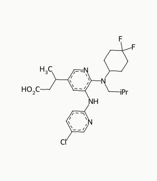 CC(C)CN(c1ncc(C(C)CC(=O)O)cc1Nc1ccc(Cl)cn1)C1CCC(F)(F)CC1